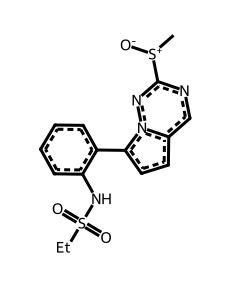 CCS(=O)(=O)Nc1ccccc1-c1ccc2cnc([S+](C)[O-])nn12